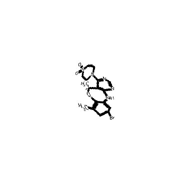 Cc1cc(Br)cc2c1O[C@H](C)c1c(ncnc1N1CCS(=O)(=O)CC1)N2